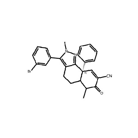 CC1C(=O)C(C#N)=C[C@]2(c3ccccc3)c3nn(C)c(-c4cccc(Br)c4)c3CCC12